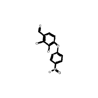 O=Cc1ccc(Oc2ccc([N+](=O)[O-])cc2)c(Cl)c1Cl